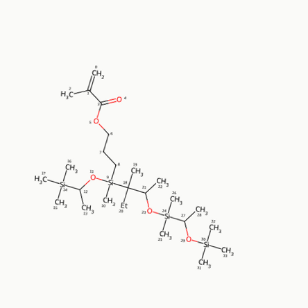 C=C(C)C(=O)OCCC[Si](C)(OC(C)[Si](C)(C)C)C(C)(CC)C(C)O[Si](C)(C)C(C)O[Si](C)(C)C